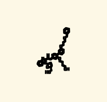 OCCCCOc1cc(CNc2nc3ccccc3n2[C@H]2CC[C@@H](CO)O2)ccc1-c1cccc(OCCCOCc2ccccc2)c1